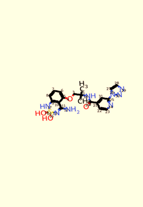 CC(C)(COc1cccc2c1C(N)=NS(O)(O)N2)NC(=O)c1ccnc(-n2ccnn2)c1